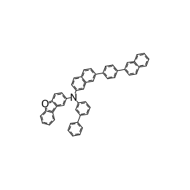 c1ccc(-c2cccc(N(c3ccc4ccc(-c5ccc(-c6ccc7ccccc7c6)cc5)cc4c3)c3ccc4oc5ccccc5c4c3)c2)cc1